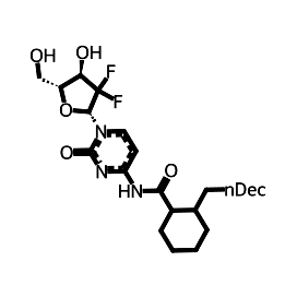 CCCCCCCCCCCC1CCCCC1C(=O)Nc1ccn([C@@H]2O[C@H](CO)[C@@H](O)C2(F)F)c(=O)n1